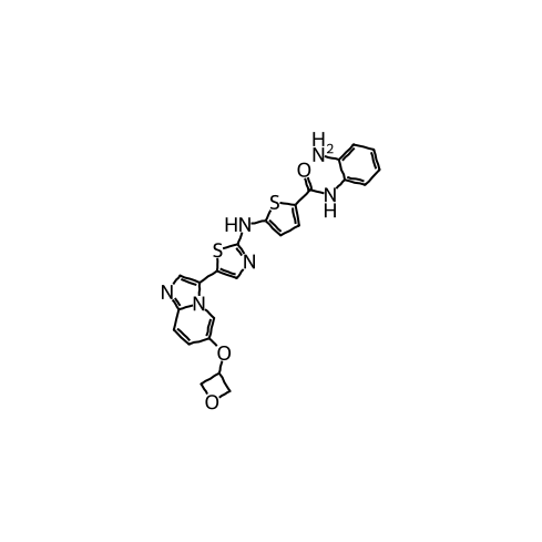 Nc1ccccc1NC(=O)c1ccc(Nc2ncc(-c3cnc4ccc(OC5COC5)cn34)s2)s1